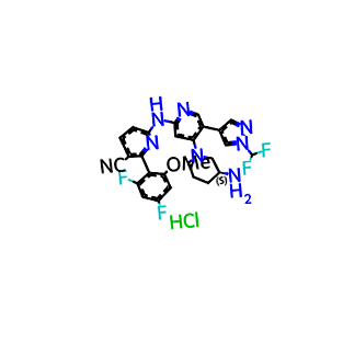 COc1cc(F)cc(F)c1-c1nc(Nc2cc(N3CCC[C@H](N)C3)c(-c3cnn(C(F)F)c3)cn2)ccc1C#N.Cl